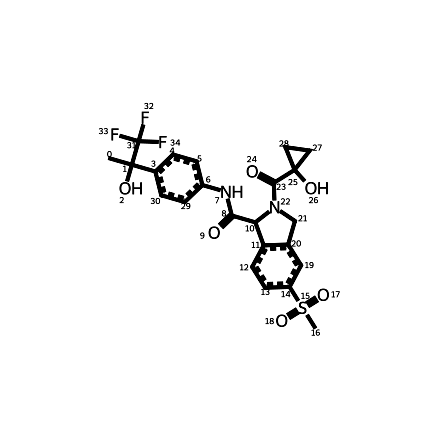 CC(O)(c1ccc(NC(=O)C2c3ccc(S(C)(=O)=O)cc3CN2C(=O)C2(O)CC2)cc1)C(F)(F)F